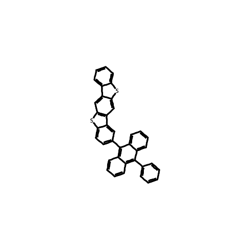 c1ccc(-c2c3ccccc3c(-c3ccc4sc5cc6c(cc5c4c3)sc3ccccc36)c3ccccc23)cc1